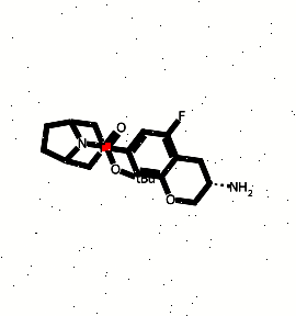 CC(C)(C)OC(=O)N1C2CCC1CN(c1cc(F)c3c(c1)OC[C@@H](N)C3)C2